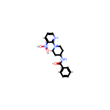 O=C(NC1CCN(c2ncccc2[N+](=O)[O-])CC1)c1ccccc1